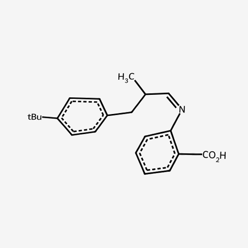 CC(/C=N\c1ccccc1C(=O)O)Cc1ccc(C(C)(C)C)cc1